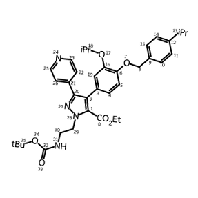 CCOC(=O)c1c(-c2ccc(OCc3ccc(C(C)C)cc3)c(OC(C)C)c2)c(-c2ccncc2)nn1CCNC(=O)OC(C)(C)C